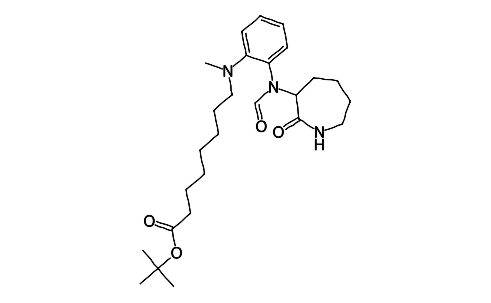 CN(CCCCCCCC(=O)OC(C)(C)C)c1ccccc1N(C=O)C1CCCCNC1=O